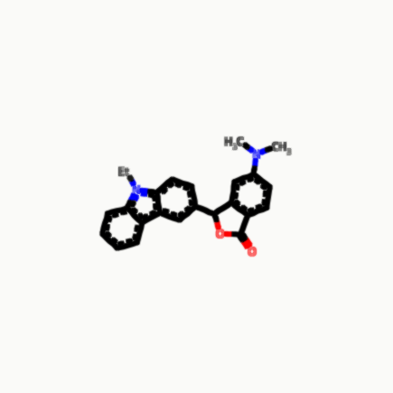 CCn1c2ccccc2c2cc(C3OC(=O)c4ccc(N(C)C)cc43)ccc21